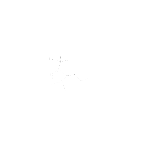 Cc1c(CCO)c(C(F)(F)I)nn1C